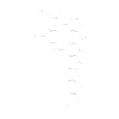 C=CC(=O)Oc1cccc(Nc2nc(Nc3cccc(O)c3)nc(Nc3cccc(OC(=O)C=C)c3)n2)c1